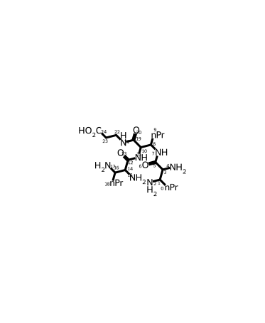 CCCC(N)C(N)C(=O)NC(CCC)C(NC(=O)C(N)C(N)CCC)C(=O)NCCC(=O)O